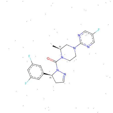 C[C@H]1CN(c2ncc(F)cn2)CCN1C(=O)N1N=CC[C@H]1c1cc(F)cc(F)c1